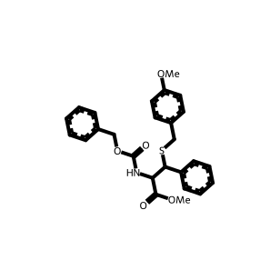 COC(=O)C(NC(=O)OCc1ccccc1)C(SCc1ccc(OC)cc1)c1ccccc1